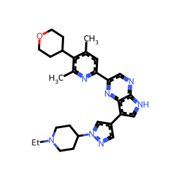 CCN1CCC(n2cc(-c3c[nH]c4ncc(-c5cc(C)c(C6CCOCC6)c(C)n5)nc34)cn2)CC1